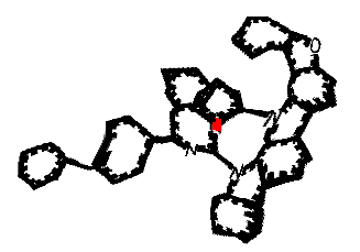 c1ccc(-c2ccc(-c3nc(-n4c5ccccc5c5ccc6c7ccc8oc9ccccc9c8c7n(-c7ccccc7)c6c54)nc4ccccc34)cc2)cc1